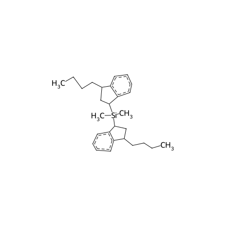 CCCCC1CC([Si](C)(C)C2CC(CCCC)c3ccccc32)c2ccccc21